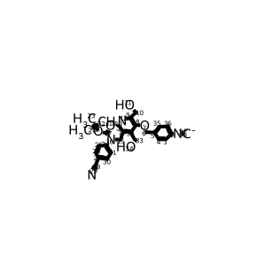 [C-]#[N+]c1ccc(COc2c(CO)ncc(CN(C(=O)OC(C)(C)C)c3ccc(C#N)cc3)c2CO)cc1